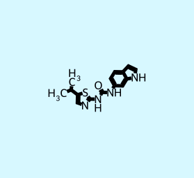 CC(C)c1cnc(NC(=O)Nc2ccc3cc[nH]c3c2)s1